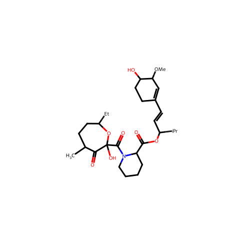 CCC1CCC(C)C(=O)C(O)(C(=O)N2CCCCC2C(=O)OC(/C=C/C2=CC(OC)C(O)CC2)C(C)C)O1